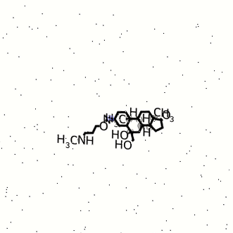 CNCCCO/N=C1/CC[C@@]2(C)C(C1)[C@@](O)(CO)C[C@@H]1[C@@H]2CC[C@]2(C)C(=O)CC[C@@H]12